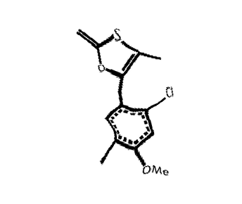 C=C1OC(c2cc(C)c(OC)cc2Cl)=C(C)S1